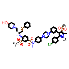 CCn1c(C)c(S(=O)(=O)C(C)C)c(-c2cccc(N3CCN(c4ccc(NS(=O)(=O)c5ccc(N[C@H](CCN6CCC(O)CC6)CSc6ccccc6)c(S(=O)(=O)C(F)(F)F)c5)cc4)CC3)c2)c1-c1ccc(Cl)cc1